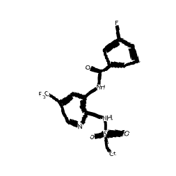 CCS(=O)(=O)Nc1ncc(C(F)(F)F)cc1NC(=O)c1cccc(F)c1